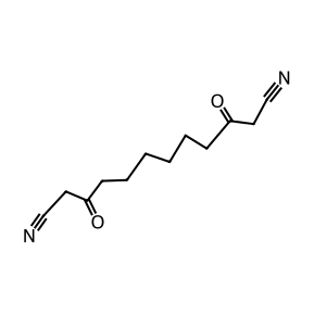 N#CCC(=O)CCCCCCC(=O)CC#N